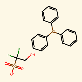 O=S(=O)([O-])C(F)(F)CO.c1ccc([S+](c2ccccc2)c2ccccc2)cc1